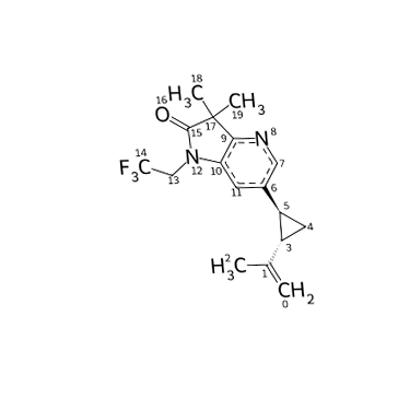 C=C(C)[C@H]1C[C@@H]1c1cnc2c(c1)N(CC(F)(F)F)C(=O)C2(C)C